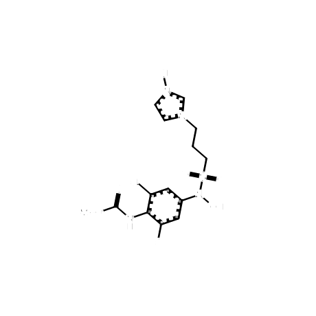 COC(=O)Nc1c(Cl)cc(N(O)S(=O)(=O)CCCn2cc[n+](C)c2)cc1Cl.[Cl-]